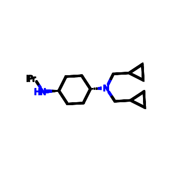 CC(C)N[C@H]1CC[C@H](N(CC2CC2)CC2CC2)CC1